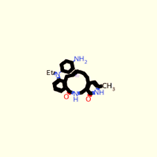 CCN(c1cccc2c1C/C=C/CCc1cc(C)[nH]c(=O)c1CNC2=O)[C@H]1CC[C@@H](N)CC1